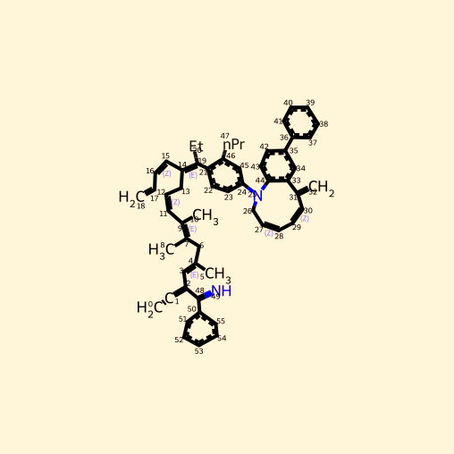 C=C=C(/C=C(\C)C/C(C)=C(C)/C=C\CC(/C=C\C=C)=C(/CC)c1ccc(N2C/C=C\C=C/C(=C)c3cc(-c4ccccc4)ccc32)cc1CCC)C(=N)c1ccccc1